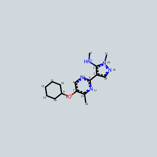 CNc1c(-c2ncc(OC3CCCCC3)c(C)n2)cnn1C